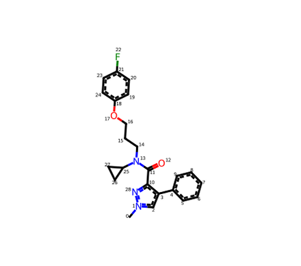 Cn1cc(-c2ccccc2)c(C(=O)N(CCCOc2ccc(F)cc2)C2CC2)n1